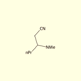 CCCC(CC#N)NC